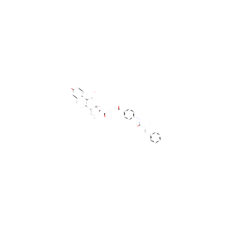 C[C@@H]1C[C@H]2[C@@H]3CCC4=CC(=O)C=C[C@]4(C)[C@@]3(F)[C@@H](O)C[C@@]23O[C@]13C(=O)COC(=O)c1ccc(NC(=O)[C@@H](N)Cc2ccccc2)cc1